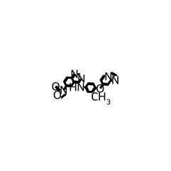 Cc1cc(Nc2ncnc3ccc(N4CCOC4=O)cc23)ccc1Oc1ccn2ccnc2c1